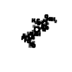 COc1cc(C(N)=O)cc2nnc([C@H]3CCC[C@@H](Nc4ncc(C(F)(F)F)c(OC5COC5)n4)C3)n12